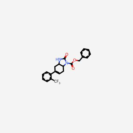 O=C1NC2CC(c3ccccc3C(F)(F)F)=CCC2N1C(=O)OCc1ccccc1